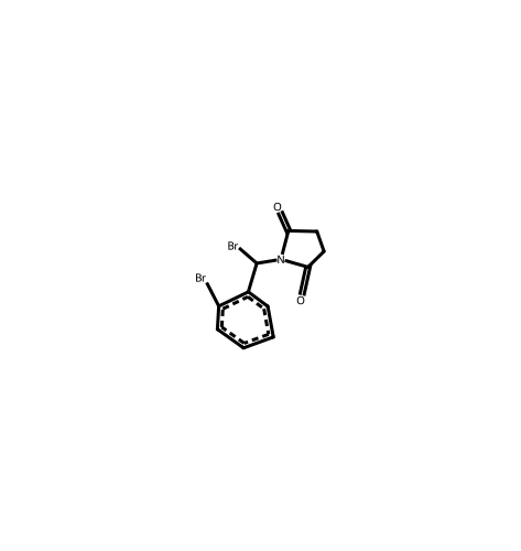 O=C1CCC(=O)N1C(Br)c1ccccc1Br